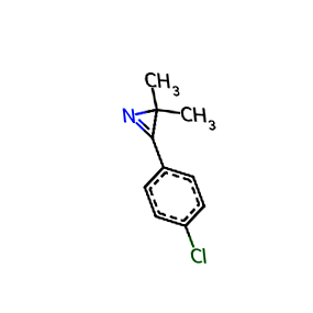 CC1(C)N=C1c1ccc(Cl)cc1